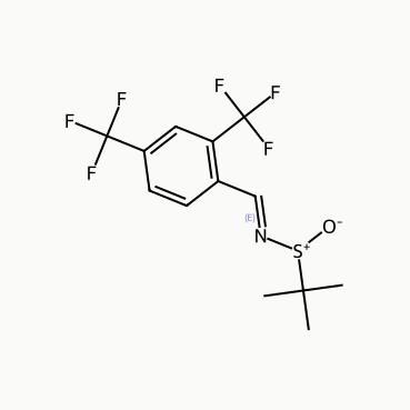 CC(C)(C)[S+]([O-])/N=C/c1ccc(C(F)(F)F)cc1C(F)(F)F